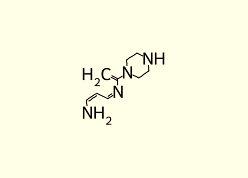 C=C(/N=C\C=C/N)N1CCNCC1